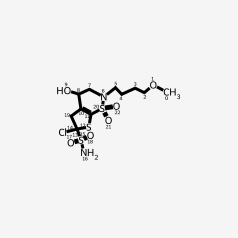 COCCCCN1CC(O)C2=C(SC(Cl)(S(N)(=O)=O)C2)S1(=O)=O